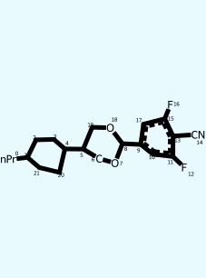 CCCC1CCC(C2COC(c3cc(F)c(C#N)c(F)c3)OC2)CC1